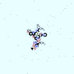 C=C[C@@H]1C[C@]1(NC(=O)[C@@H]1C[C@@H](Oc2cc(-c3nc(C(C)C)cs3)nc3cc(OC)ccc23)CN1C(=O)[C@@H](CC(=O)N1CCCCC1)C(C)(C)C)C(=O)NS(=O)(=O)C1CC1